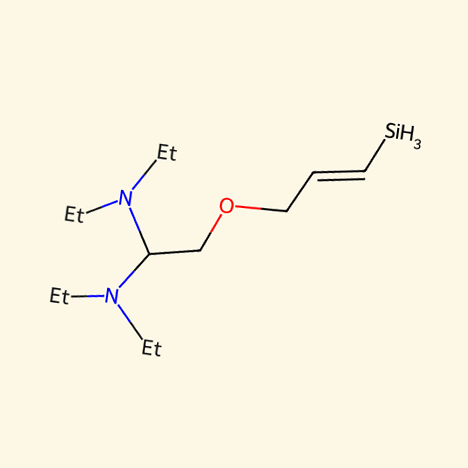 CCN(CC)C(COCC=C[SiH3])N(CC)CC